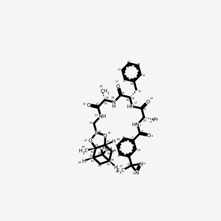 CC(C)[C@H](NC(=O)c1cccc(C2(C(F)(F)F)N=N2)c1)C(=O)N[C@@H](Cc1ccccc1)C(=O)N[C@@H](C)C(=O)NCB1O[C@@H]2C[C@@H]3C[C@@H](C3(C)C)[C@]2(C)O1